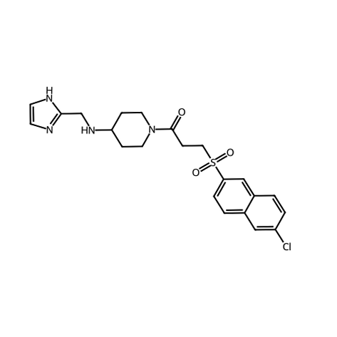 O=C(CCS(=O)(=O)c1ccc2cc(Cl)ccc2c1)N1CCC(NCc2ncc[nH]2)CC1